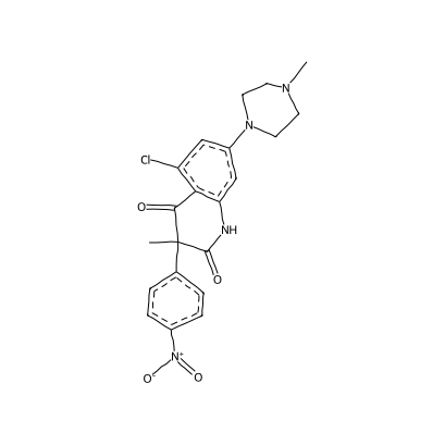 CN1CCN(c2cc(Cl)c3c(c2)NC(=O)C(C)(c2ccc([N+](=O)[O-])cc2)C3=O)CC1